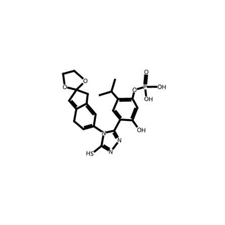 CC(C)c1cc(-c2nnc(S)n2C2=CCC3=CC4(CC3=C2)OCCO4)c(O)cc1OP(=O)(O)O